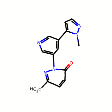 Cn1nccc1-c1cncc(-n2nc(C(=O)O)ccc2=O)c1